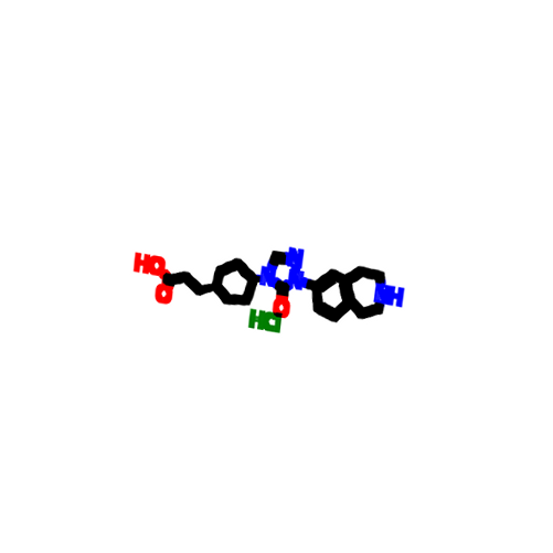 Cl.O=C(O)CC[C@H]1CC[C@H](n2cnn(-c3ccc4c(c3)CCNCC4)c2=O)CC1